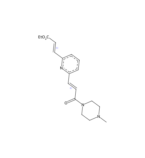 CCOC(=O)/C=C/c1cccc(/C=C/C(=O)N2CCN(C)CC2)n1